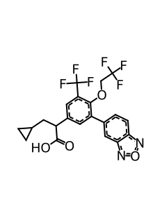 O=C(O)C(CC1CC1)c1cc(-c2ccc3nonc3c2)c(OCC(F)(F)F)c(C(F)(F)F)c1